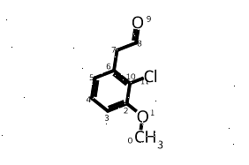 COc1cccc(CC=O)c1Cl